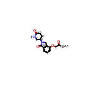 CNC(=O)COc1cccc2c1CN(C1CCC(=O)NC1)C2=O